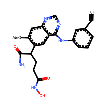 C#Cc1cccc(Nc2ncnc3cc(OC)c(C(CCC(=O)NO)C(N)=O)cc23)c1